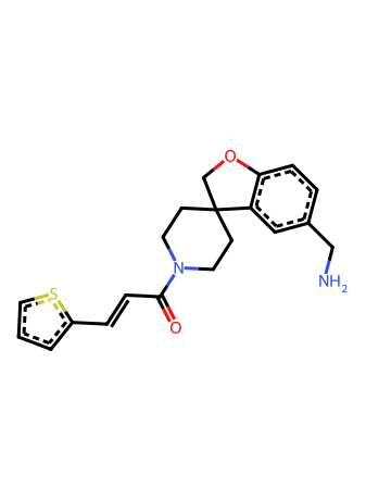 NCc1ccc2c(c1)C1(CCN(C(=O)C=Cc3cccs3)CC1)CO2